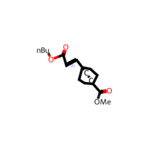 CCCCOC(=O)/C=C/C12CCC(C(=O)OC)(CC1)CC2